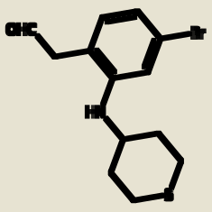 O=CCc1ccc(Br)cc1NC1CCSCC1